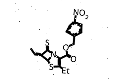 CC=C1C(=S)N2C(C(=O)OCc3ccc([N+](=O)[O-])cc3)=C(CC)SC12